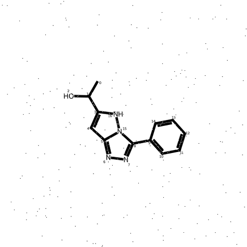 CC(O)c1cc2nnc(-c3ccccc3)n2[nH]1